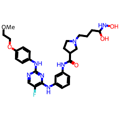 COCCOc1ccc(Nc2ncc(F)c(Nc3cccc(NC(=O)C4CCN(CCCC(O)NO)C4)c3)n2)cc1